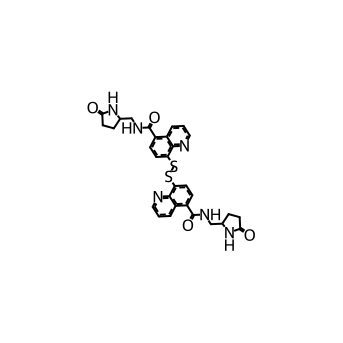 O=C1CCC(CNC(=O)c2ccc(SSc3ccc(C(=O)NCC4CCC(=O)N4)c4cccnc34)c3ncccc23)N1